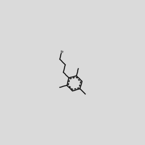 Cc1cc(C)c(CCCBr)c(C)c1